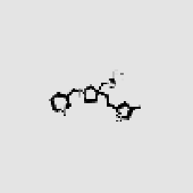 CCOC[C@@]1(CCc2cc(C)cs2)CCN(Cc2cccnc2)C1